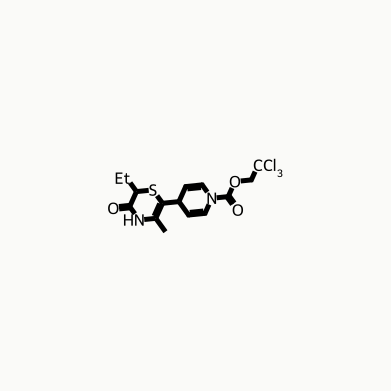 CCC1SC(C2C=CN(C(=O)OCC(Cl)(Cl)Cl)C=C2)=C(C)NC1=O